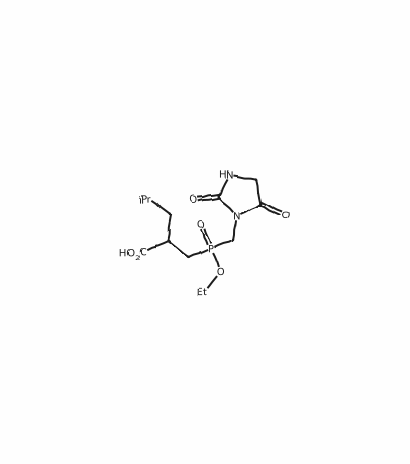 CCOP(=O)(CC(CC(C)C)C(=O)O)CN1C(=O)CNC1=O